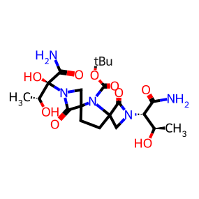 C[C@@H](O)[C@@H](C(N)=O)N1CC2(CCC3(CN([C@@](O)(C(N)=O)[C@@H](C)O)C3=O)N2C(=O)OC(C)(C)C)C1=O